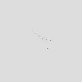 C[C@@](CCn1c(=O)oc2cc(C#CC#CC3(CO)CC3)ccc21)(C(=O)NO)S(C)(=O)=O